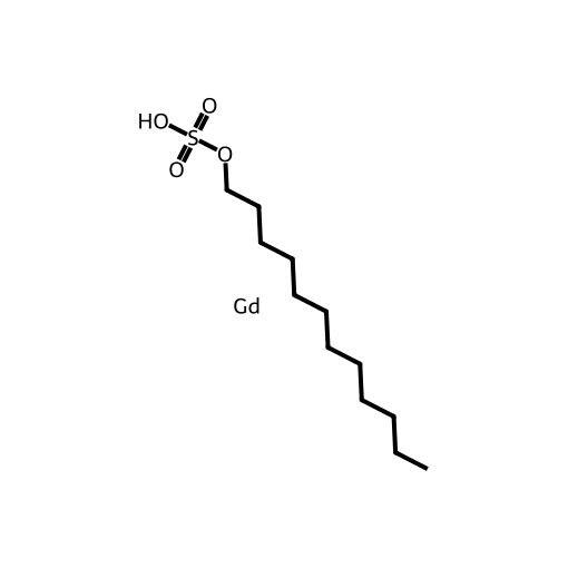 CCCCCCCCCCCCOS(=O)(=O)O.[Gd]